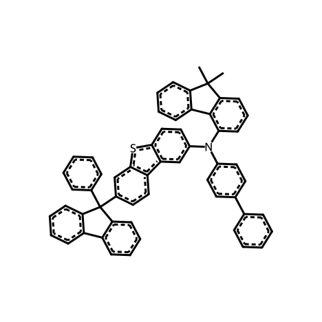 CC1(C)c2ccccc2-c2c(N(c3ccc(-c4ccccc4)cc3)c3ccc4sc5cc(C6(c7ccccc7)c7ccccc7-c7ccccc76)ccc5c4c3)cccc21